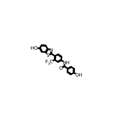 O=C(Nc1ccc(-c2nc3ccc(O)cc3s2)c(C(F)(F)F)c1)c1ccc(O)cc1